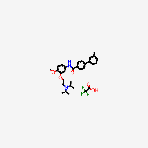 COc1ccc(NC(=O)c2ccc(-c3cccc(C)c3)cc2)cc1OCCN(C(C)C)C(C)C.O=C(O)C(F)(F)F